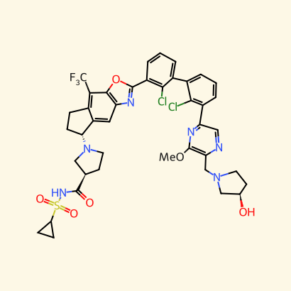 COc1nc(-c2cccc(-c3cccc(-c4nc5cc6c(c(C(F)(F)F)c5o4)CC[C@H]6N4CC[C@@H](C(=O)NS(=O)(=O)C5CC5)C4)c3Cl)c2Cl)cnc1CN1CC[C@@H](O)C1